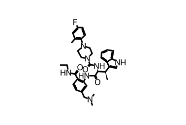 CCNC(=O)c1ccc(CN(C)C)cc1NC(=O)[C@H](NC(=O)N1CCN(c2ccc(F)cc2C)CC1)[C@H](C)c1c[nH]c2ccccc12